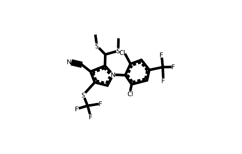 CSC(SC)c1c(C#N)c(SC(F)(F)F)cn1-c1c(Cl)cc(C(F)(F)F)cc1Cl